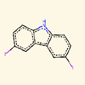 Ic1ccc2[nH]c3ccc(I)cc3c2c1